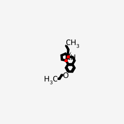 CCCOc1ccc2c(c1)C13CCCC1(CC2)C(CCC)NCC3